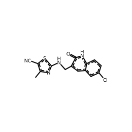 Cc1nc(NCc2cc3cc(Cl)ccc3[nH]c2=O)sc1C#N